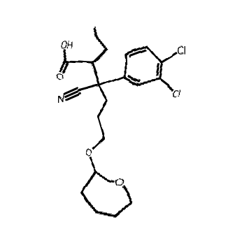 CCC(C(=O)O)C(C#N)(CCCOC1CCCCO1)c1ccc(Cl)c(Cl)c1